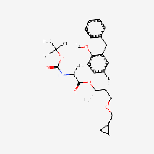 COc1ccc(C[C@H](COCC2CC2)[C@H](C)OC(=O)[C@H](C)NC(=O)OC(C)(C)C)cc1Cc1ccccc1